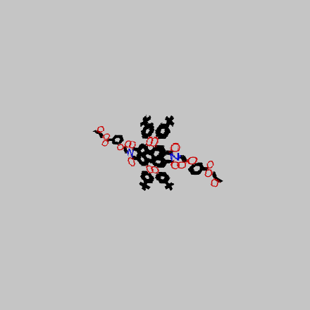 CC(C)(C)c1ccc(Oc2cc3c4c(cc(Oc5ccc(C(C)(C)C)cc5)c5c6c(Oc7ccc(C(C)(C)C)cc7)cc7c8c(cc(Oc9ccc(C(C)(C)C)cc9)c(c2c45)c86)C(=O)N(CC(=O)OC2CCCC(C(=O)OCC4CO4)C2)C7=O)C(=O)N(CC(=O)OC2CCCC(C(=O)OCC4CO4)C2)C3=O)cc1